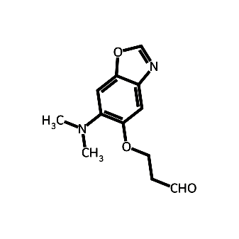 CN(C)c1cc2ocnc2cc1OCCC=O